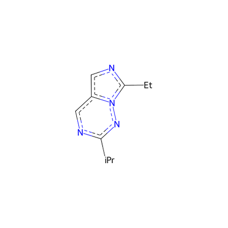 CCc1ncc2cnc(C(C)C)nn12